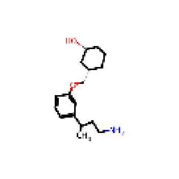 C[C@H](CCN)c1cccc(OC[C@H]2CCC[C@@H](O)C2)c1